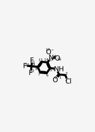 O=C(CCl)Nc1ccc(C(F)(F)F)cc1[N+](=O)[O-]